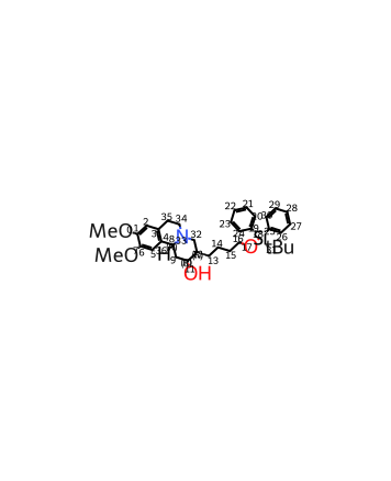 COc1cc2c(cc1OC)[C@H]1C[C@@H](O)[C@H](CCCCO[Si](c3ccccc3)(c3ccccc3)C(C)(C)C)CN1CC2